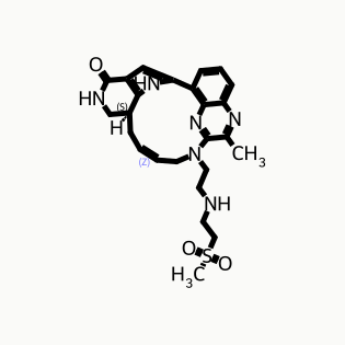 Cc1nc2cccc3c2nc1N(CCNCCS(C)(=O)=O)C/C=C\C[C@H]1CNC(=O)c2cc-3[nH]c21